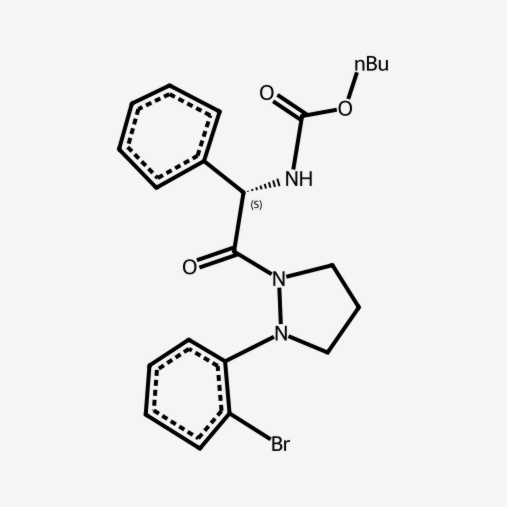 CCCCOC(=O)N[C@H](C(=O)N1CCCN1c1ccccc1Br)c1ccccc1